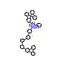 c1ccc(C2N=C(c3ccc4c(c3)C(c3ccccc3)(c3ccccc3)c3ccccc3-4)N=C(c3ccc4c(c3)sc3ccc(-c5cccc(-c6cccc(-c7ccc8c9ccccc9c9ccccc9c8c7)c6)c5)cc34)N2)cc1